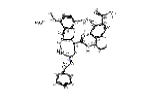 CC[C@@H](NC(=O)N1C/C(=N/Oc2ccccc2)NC[C@@H](Cc2cc(Cl)ccc2OC)C1=O)c1ccc(C(=O)O)c(N)c1.Cl